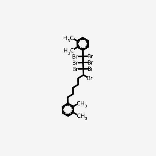 Cc1cccc(CCCCCC(Br)C(Br)(Br)C(Br)(Br)C(Br)(Br)c2cccc(C)c2C)c1C